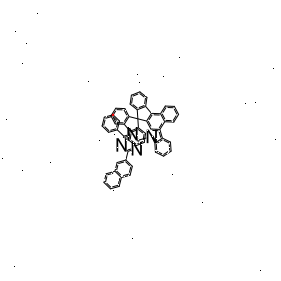 c1ccc(-c2nc(-c3ccc4ccccc4c3)nc(-n3c4ccccc4c4c5ccccc5c5c(c43)C3(c4ccccc4-c4ccccc43)c3ccccc3-5)n2)cc1